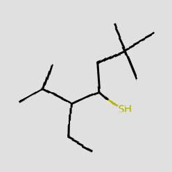 CCC(C(C)C)C(S)CC(C)(C)C